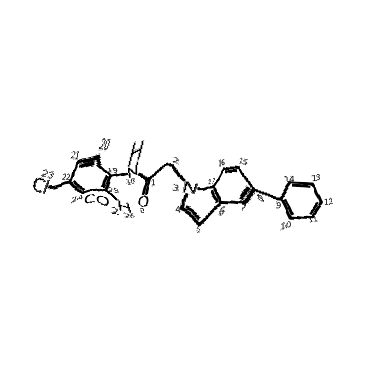 O=C(Cn1ccc2cc(-c3ccccc3)ccc21)Nc1ccc(Cl)cc1C(=O)O